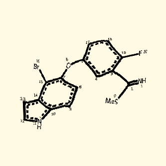 CSC(=N)c1cc(Oc2ccc3[nH]ccc3c2Br)ccc1F